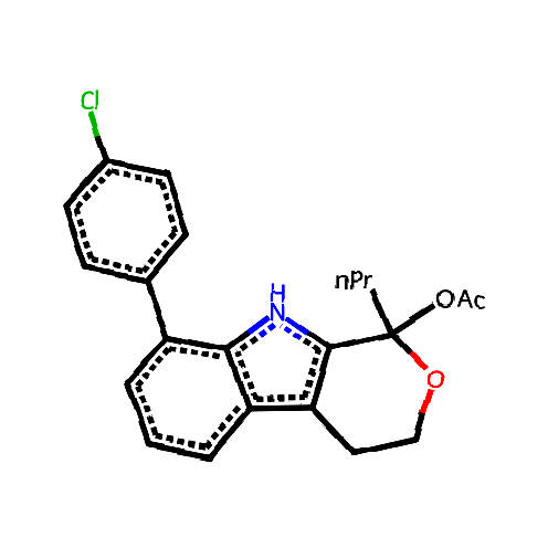 CCCC1(OC(C)=O)OCCc2c1[nH]c1c(-c3ccc(Cl)cc3)cccc21